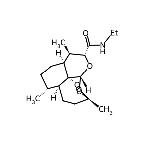 CCNC(=O)[C@@H]1O[C@@H]2O[C@@]3(C)CC[C@H]4[C@H](C)CC[C@@H]([C@H]1C)[C@@]24OO3